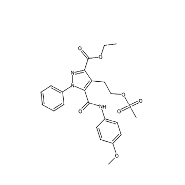 CCOC(=O)c1nn(-c2ccccc2)c(C(=O)Nc2ccc(OC)cc2)c1CCOS(C)(=O)=O